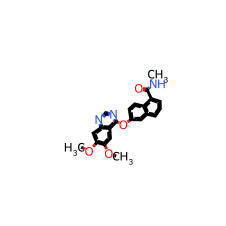 CNC(=O)c1cccc2cc(Oc3ncnc4cc(OC)c(OC)cc34)ccc12